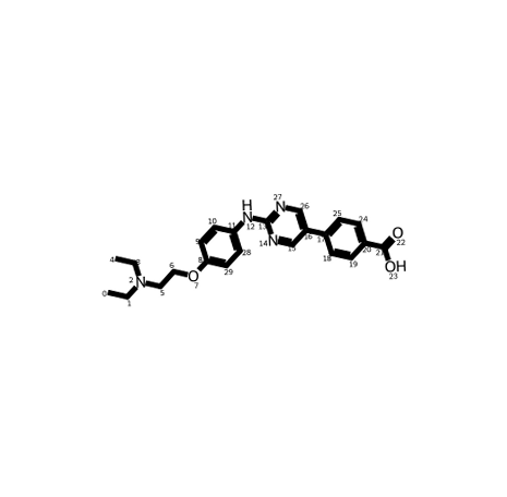 CCN(CC)CCOc1ccc(Nc2ncc(-c3ccc(C(=O)O)cc3)cn2)cc1